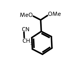 CC#N.COC(OC)c1ccccc1